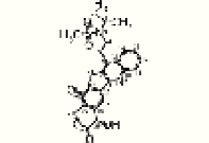 CC(C)N(CCc1c2c(nc3ccccc13)-c1cc3c(c(=O)n1C2)COC(=O)C3O)S(C)(=O)=O